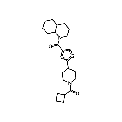 O=C(C1CCC1)N1CCC(c2nc(C(=O)N3CCCC4CCCCC43)cs2)CC1